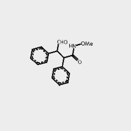 CONC(=O)C(c1ccccc1)C(C=O)c1ccccc1